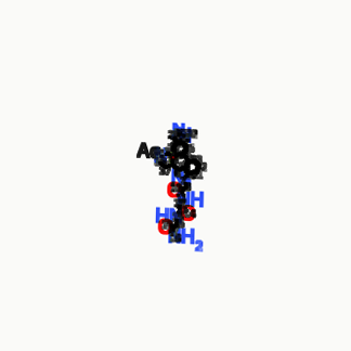 CC(=O)N1CCC(c2nn(CC(=O)NCC(=O)NCC(N)=O)c3cccc(-c4cc5c(cnn5C)cc4F)c23)CC1